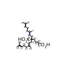 CC(C)=CCC/C(C)=C/CC(C/C=C(\C)CCC=C(C)C)(CCCC(=O)O)C(=O)O